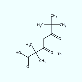 CC(C)(C)C(=O)CC(=O)C(C)(C)C(=O)O.[Tb]